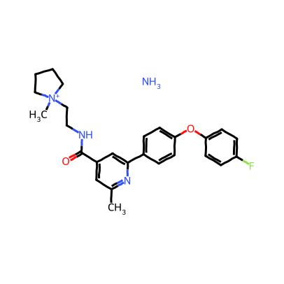 Cc1cc(C(=O)NCC[N+]2(C)CCCC2)cc(-c2ccc(Oc3ccc(F)cc3)cc2)n1.N